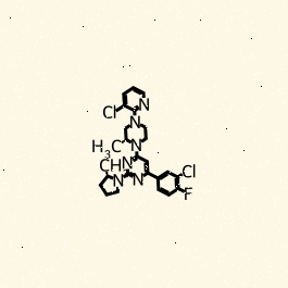 C[C@@H]1CCCN1c1nc(-c2ccc(F)c(Cl)c2)cc(N2CCN(c3ncccc3Cl)C[C@@H]2C)n1